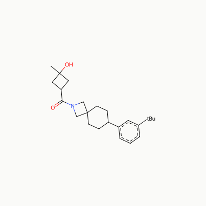 CC1(O)CC(C(=O)N2CC3(CCC(c4cccc(C(C)(C)C)c4)CC3)C2)C1